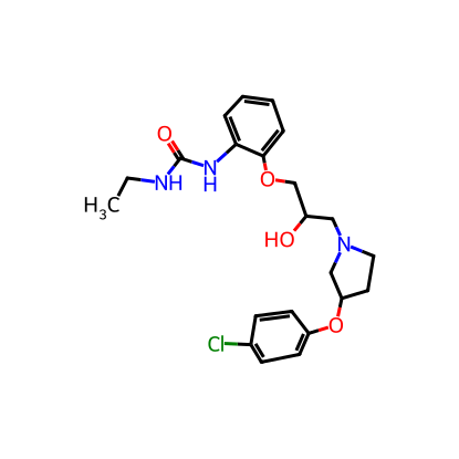 CCNC(=O)Nc1ccccc1OCC(O)CN1CCC(Oc2ccc(Cl)cc2)C1